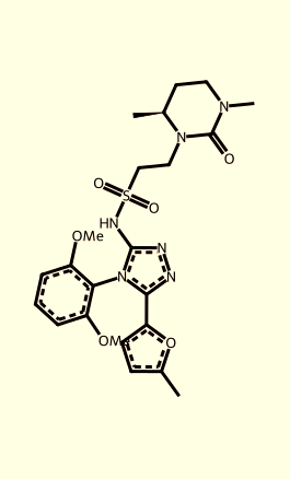 COc1cccc(OC)c1-n1c(NS(=O)(=O)CCN2C(=O)N(C)CC[C@@H]2C)nnc1-c1ccc(C)o1